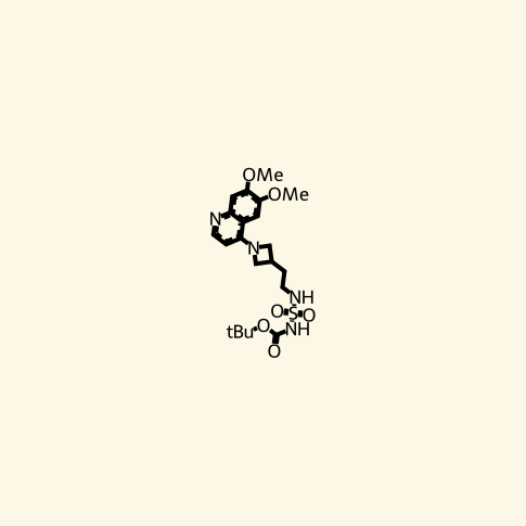 COc1cc2nccc(N3CC(CCNS(=O)(=O)NC(=O)OC(C)(C)C)C3)c2cc1OC